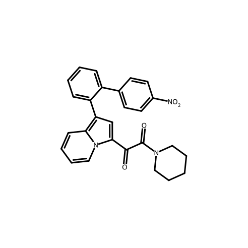 O=C(C(=O)N1CCCCC1)c1cc(-c2ccccc2-c2ccc([N+](=O)[O-])cc2)c2ccccn12